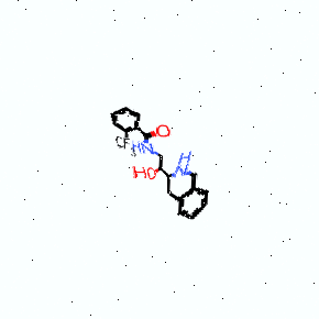 O=C(NCC(O)C1Cc2ccccc2CN1)c1ccccc1C(F)(F)F